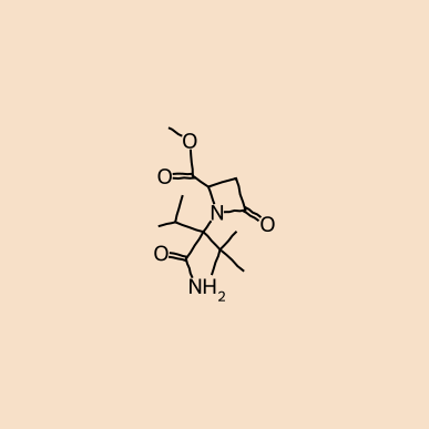 COC(=O)C1CC(=O)N1C(C(N)=O)(C(C)C)C(C)(C)C